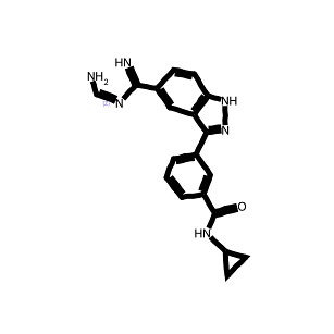 N=C(/N=C\N)c1ccc2[nH]nc(-c3cccc(C(=O)NC4CC4)c3)c2c1